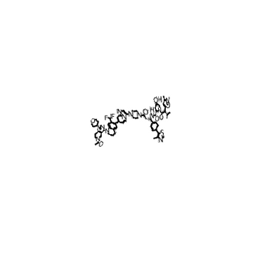 CC(=O)N1CCc2c(c(N3CCCc4cc(-c5ccn6c(N7CCN(C(=O)C[C@H](NC(=O)[C@@H]8C[C@@H](O)CN8C(=O)[C@@H](c8cc(C)no8)C(C)C)c8ccc(-c9scnc9C)cc8)CC7)cnc6c5)c(C(F)F)cc43)nn2C2CCOCC2)C1